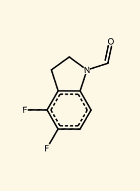 O=CN1CCc2c1ccc(F)c2F